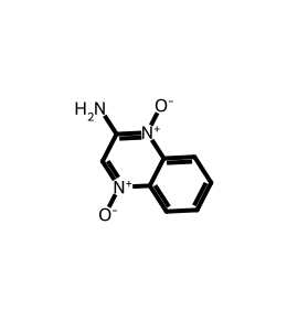 Nc1c[n+]([O-])c2ccccc2[n+]1[O-]